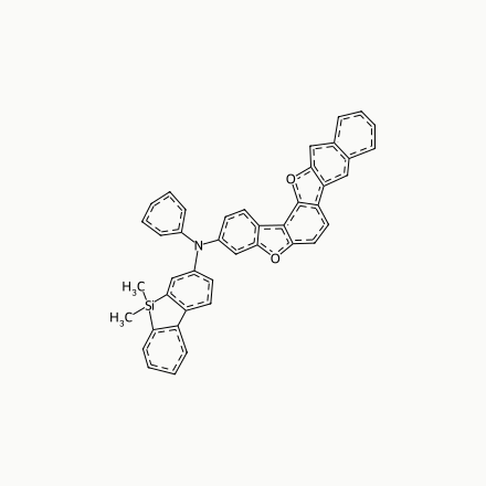 C[Si]1(C)c2ccccc2-c2ccc(N(c3ccccc3)c3ccc4c(c3)oc3ccc5c6cc7ccccc7cc6oc5c34)cc21